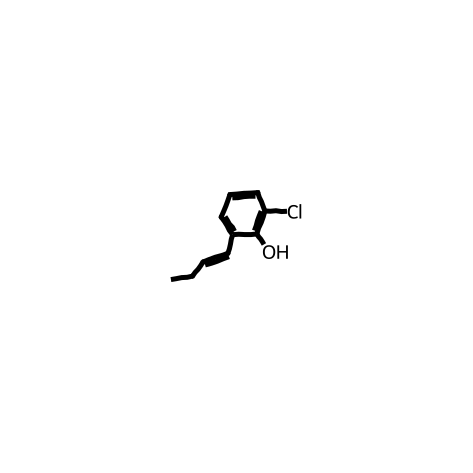 CCC=Cc1cccc(Cl)c1O